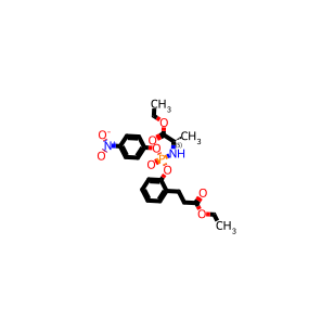 CCOC(=O)CCc1ccccc1OP(=O)(N[C@@H](C)C(=O)OCC)Oc1ccc([N+](=O)[O-])cc1